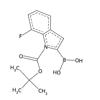 CC(C)(C)OC(=O)n1c(B(O)O)cc2cccc(F)c21